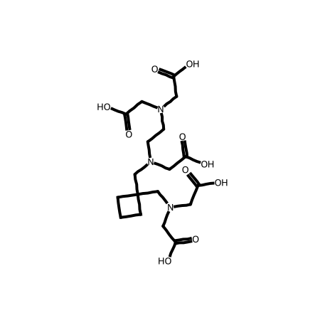 O=C(O)CN(CCN(CC(=O)O)CC1(CN(CC(=O)O)CC(=O)O)CCC1)CC(=O)O